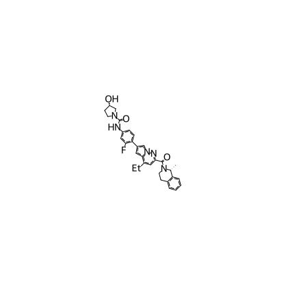 CCc1cc(C(=O)N2CCc3ccccc3[C@H]2C)nn2cc(-c3ccc(NC(=O)N4CC[C@@H](O)C4)cc3F)cc12